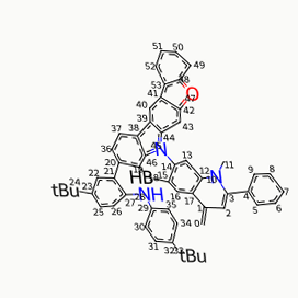 C=C1C=C(c2ccccc2)N(C)c2cc3c(cc21)Bc1c(-c2cc(C(C)(C)C)ccc2Nc2ccc(C(C)(C)C)cc2)ccc2c4cc5c(cc4n-3c12)oc1ccccc15